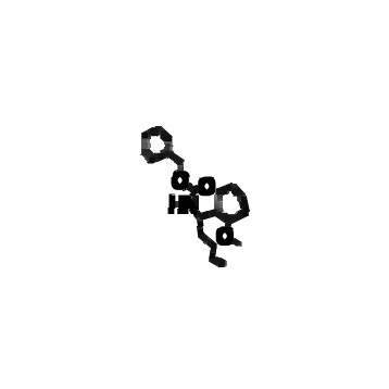 C=CCCC(NC(=O)OCc1ccccc1)c1ccccc1OC